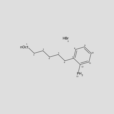 Br.CCCCCCCCCCCCCc1ccccc1P